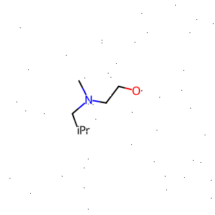 CC(C)CN(C)CC[O]